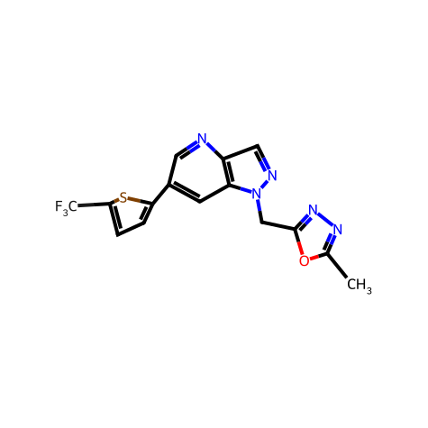 Cc1nnc(Cn2ncc3ncc(-c4ccc(C(F)(F)F)s4)cc32)o1